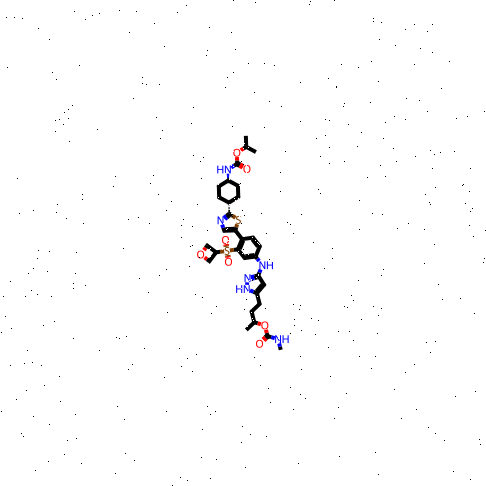 CNC(=O)OC(C)CCc1cc(Nc2ccc(-c3cnc([C@H]4CC[C@H](NC(=O)OC(C)C)CC4)s3)c(S(=O)(=O)C3COC3)c2)n[nH]1